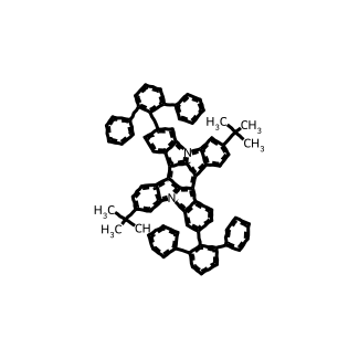 CC(C)(C)c1ccc2c3c4c5ccc(-c6c(-c7ccccc7)cccc6-c6ccccc6)cc5n5c6cc(C(C)(C)C)ccc6c(c6c7ccc(-c8c(-c9ccccc9)cccc8-c8ccccc8)cc7n(c2c1)c63)c45